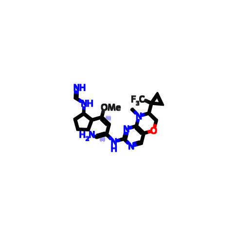 CO/C(=C/C(=C\N)Nc1ncc2c(n1)N(C)C(C1(C(F)(F)F)CC1)CO2)C1CCCC1NC=N